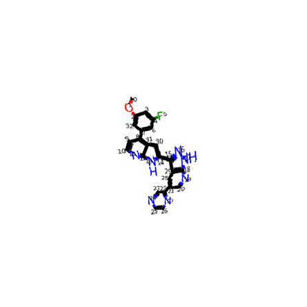 COc1cc(F)cc(-c2ccnc3[nH]c(-c4n[nH]c5ncc(-c6cnccn6)cc45)cc23)c1